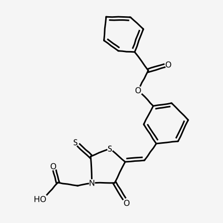 O=C(O)CN1C(=O)C(=Cc2cccc(OC(=O)c3ccccc3)c2)SC1=S